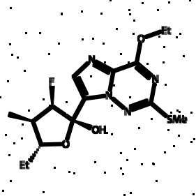 CCOc1nc(SC)nn2c([C@]3(O)O[C@H](CC)[C@@H](C)[C@H]3F)cnc12